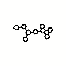 c1ccc(-c2cc(-c3ccc(-c4cc5c6ccccc6c6ccccc6c5c5ccccc45)cc3)nc(-c3cccc(-c4ccncc4)c3)n2)cc1